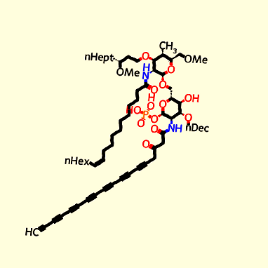 C#CC#CC#CC#CC#CC#CC#CCC(=O)CC(=O)N[C@H]1[C@@H](OP(=O)(O)O)O[C@H](CO[C@@H]2O[C@H](COC)[C@@H](C)[C@H](OCC[C@@H](CCCCCCC)OC)[C@H]2NC(=O)CCCCCCCCC/C=C\CCCCCC)[C@@H](O)[C@@H]1OCCCCCCCCCC